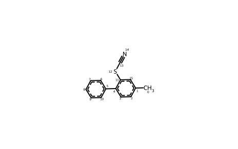 Cc1ccc(-c2ccccc2)c(SC#N)c1